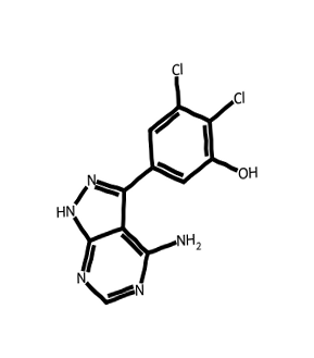 Nc1ncnc2[nH]nc(-c3cc(O)c(Cl)c(Cl)c3)c12